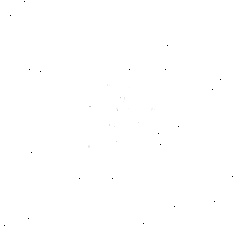 CC(=O)OC1(C)CCC23CC1C(C)(C)C2CCC3C